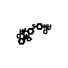 CON1c2ccc(Sc3ccc(NC(C)=O)cc3)cc2C(C)(C)[C@H]2COc3ccccc3[C@H]21